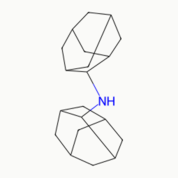 C1C2CC3CC1CC(C2)C3NC1C2CC3CC(C2)CC1C3